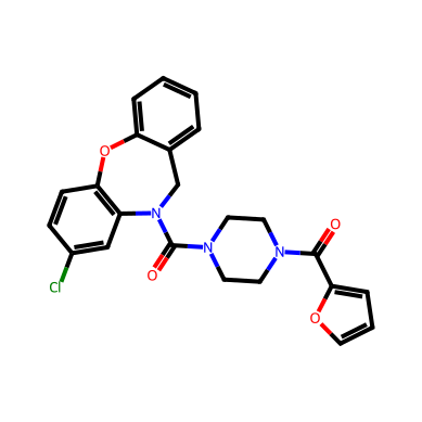 O=C(c1ccco1)N1CCN(C(=O)N2Cc3ccccc3Oc3ccc(Cl)cc32)CC1